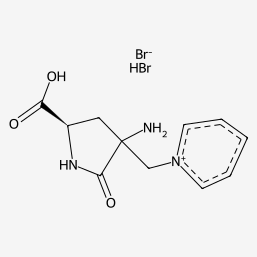 Br.NC1(C[n+]2ccccc2)C[C@H](C(=O)O)NC1=O.[Br-]